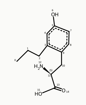 CCCc1cc(O)ccc1C[C@H](N)C(=O)O